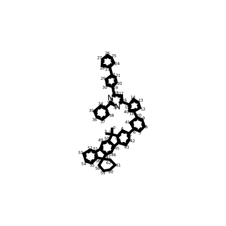 CC1(C)c2cc(-c3cccc(-c4cccc(-c5cc(-c6ccc(-c7ccccc7)cc6)nc(-c6ccccc6)n5)c4)c3)ccc2-c2cc3c(cc21)-c1ccccc1C31CCCCC1